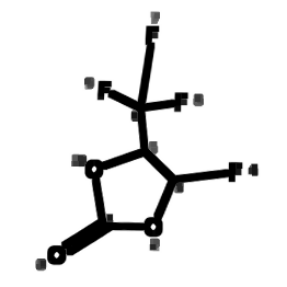 O=C1OC(F)C(C(F)(F)F)O1